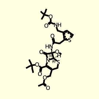 CO[C@@]1(NC(=O)Cc2sccc2CNC(=O)OC(C)(C)C)C(=O)N2C(C(=O)OC(C)(C)C)=C(COC(C)=O)CS[C@@H]21